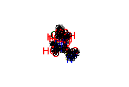 CC(C)(C)c1cc(NC(=O)NCc2ccccc2Oc2ccc3c(c2)sc2ncc(CN4CCOCC4)n23)n([C@@]2(O)[C@@H](C(=O)O)O[C@@H](Oc3ccccc3)[C@@](O)(Cl)[C@H]2O)n1.O=C(O)c1cnc2sc3ccccc3n12